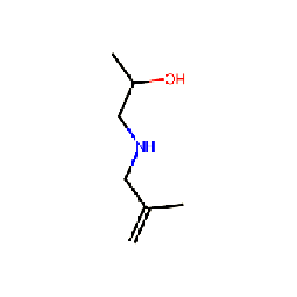 C=C(C)CNCC(C)O